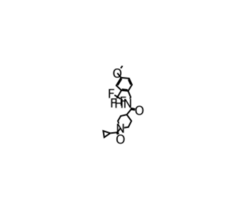 COc1ccc(CNC(=O)C2CCN(C(=O)C3CC3)CC2)c(C(F)(F)F)c1